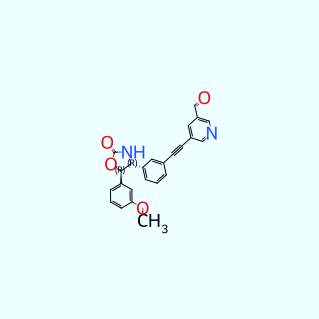 COc1cccc([C@H]2OC(=O)N[C@@H]2c2cccc(C#Cc3cncc(C=O)c3)c2)c1